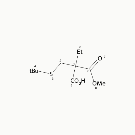 CCC(CSC(C)(C)C)(C(=O)O)C(=O)OC